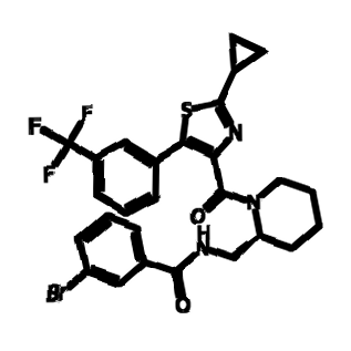 O=C(NC[C@@H]1CCCCN1C(=O)c1nc(C2CC2)sc1-c1cccc(C(F)(F)F)c1)c1cccc(Br)c1